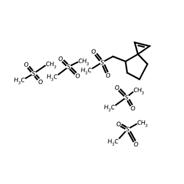 CS(=O)(=O)CC1CCCC12C=C2.CS(C)(=O)=O.CS(C)(=O)=O.CS(C)(=O)=O.CS(C)(=O)=O